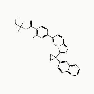 C=C(NC(C)(C)COC)c1ccc(-c2cnc3nnc(C4(c5ccc6ncccc6c5)CC4)n3n2)cc1F